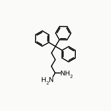 NC(N)CCCC(c1ccccc1)(c1ccccc1)c1ccccc1